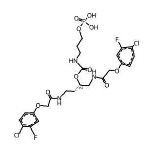 O=C(COc1ccc(Cl)c(F)c1)NCC[C@@H](CNC(=O)COc1ccc(Cl)c(F)c1)OC(=O)NCCCOP(=O)(O)O